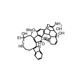 CCC1(O)CNCCc2c([nH]c3ccccc23)/C(C(=O)OC)=C(/c2cc3c(cc2OC)N(C)C2[C@]34CCN3CC=C[C@](CC)(C34)[C@@H](O)[C@]2(O)C(N)=O)[C@H](C)C1